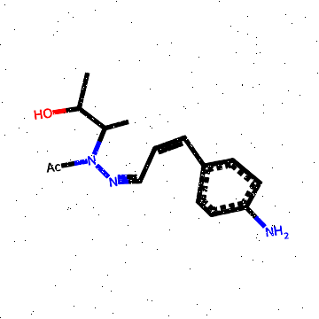 CC(=O)N(/N=C\C=C/c1ccc(N)cc1)C(C)C(C)O